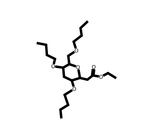 CCCCOCC1OC(CC(=O)OCC)C(OCCCC)CC1OCCCC